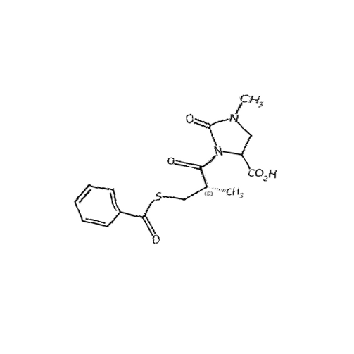 C[C@H](CSC(=O)c1ccccc1)C(=O)N1C(=O)N(C)CC1C(=O)O